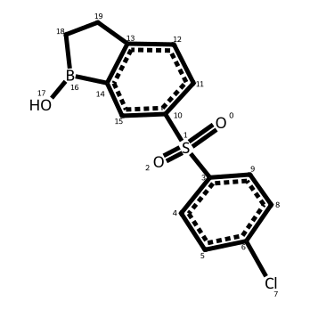 O=S(=O)(c1ccc(Cl)cc1)c1ccc2c(c1)B(O)CC2